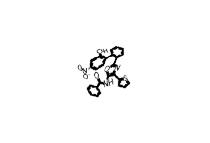 O=C(Nc1oc(-c2ccccc2-c2ccc([N+](=O)[O-])cc2O)nc1-c1cccs1)c1ccccc1